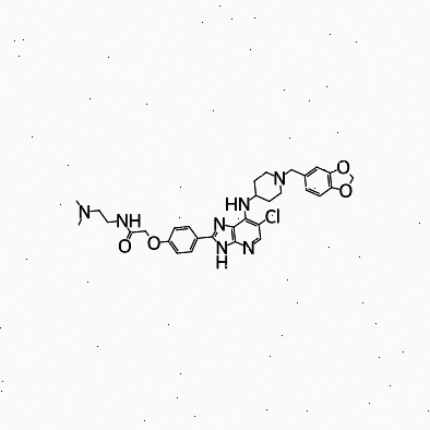 CN(C)CCNC(=O)COc1ccc(-c2nc3c(NC4CCN(Cc5ccc6c(c5)OCO6)CC4)c(Cl)cnc3[nH]2)cc1